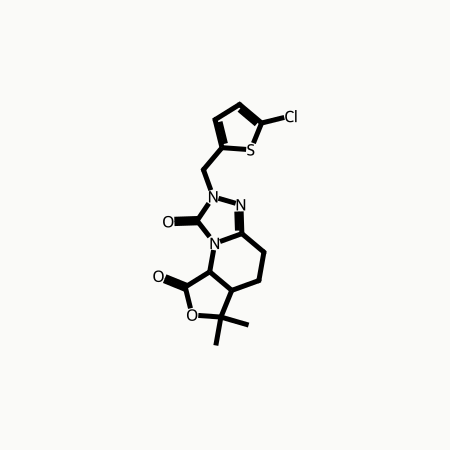 CC1(C)OC(=O)C2C1CCc1nn(Cc3ccc(Cl)s3)c(=O)n12